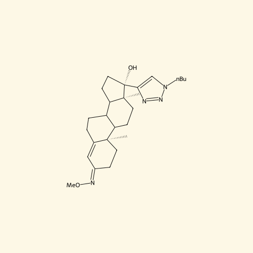 CCCCn1cc([C@]2(O)CCC3C4CCC5=C/C(=N\OC)CC[C@]5(C)C4CC[C@@]32C)nn1